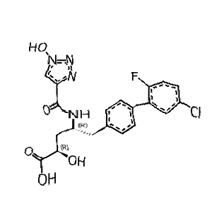 O=C(N[C@H](Cc1ccc(-c2cc(Cl)ccc2F)cc1)C[C@@H](O)C(=O)O)c1cn(O)nn1